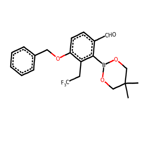 CC1(C)COB(c2c(C=O)ccc(OCc3ccccc3)c2CC(F)(F)F)OC1